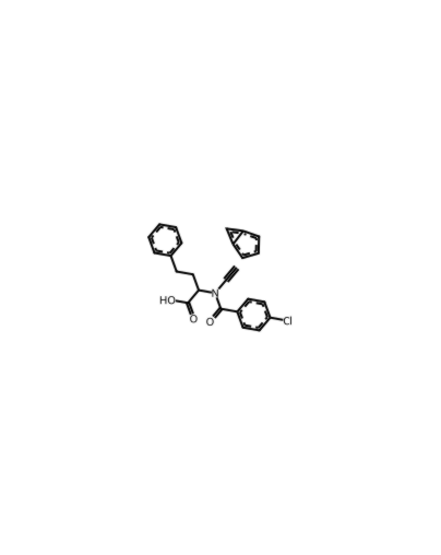 C#CN(C(=O)c1ccc(Cl)cc1)C(CCc1ccccc1)C(=O)O.c1cc2cc-2c1